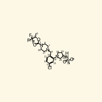 CC(OC(=O)N1CCN(Cc2ccc(Cl)cc2N2CC[C@@H](NS(C)(=O)=O)C2)CC1)C(F)(F)F